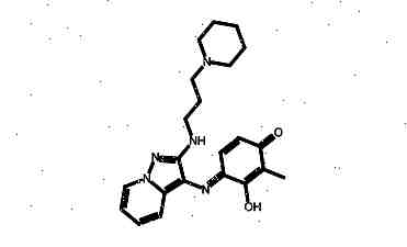 CC1=C(O)/C(=N/c2c(NCCCN3CCCCC3)nn3ccccc23)C=CC1=O